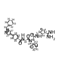 N=C(N)c1csc(CNC(=O)C2CC3(CN2C(=O)CNC(=O)c2ccc(-c4cnn(Cc5ccccc5)c4)cc2)OCCO3)c1